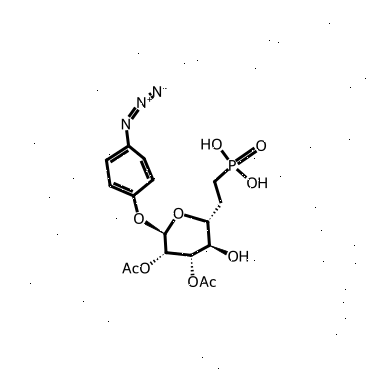 CC(=O)O[C@@H]1[C@@H](Oc2ccc(N=[N+]=[N-])cc2)O[C@H](CCP(=O)(O)O)[C@@H](O)[C@@H]1OC(C)=O